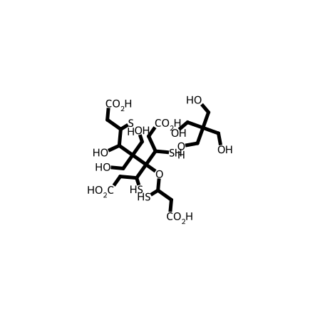 O=C(O)CC(S)OC(C(S)CC(=O)O)(C(S)CC(=O)O)C(CO)(CO)C(O)C(S)CC(=O)O.OCC(CO)(CO)CO